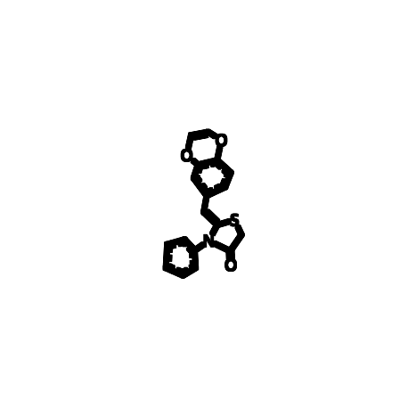 O=C1CSC(=Cc2ccc3c(c2)OC=CO3)N1c1ccccc1